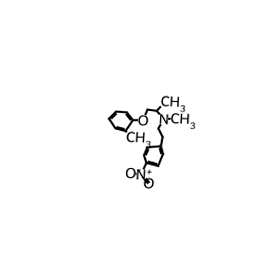 Cc1ccccc1OCC(C)N(C)CCc1ccc([N+](=O)[O-])cc1